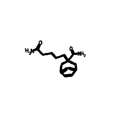 NC(=O)CCCCC1(C(N)=O)Cc2ccc(cc2)C1